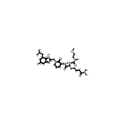 COCCN(C)C(=O)N[C@@H](CC/C=C/C(=O)N(C)C)C(=O)Nc1cccn(Cc2nc3cc(F)cc(CC(C)C)c3[nH]2)c1=O